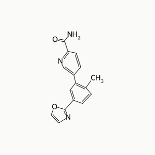 Cc1ccc(-c2ncco2)cc1-c1ccc(C(N)=O)nc1